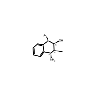 CC(=O)N1c2ccccc2[C@H](N)[C@H](C)[C@@H]1O